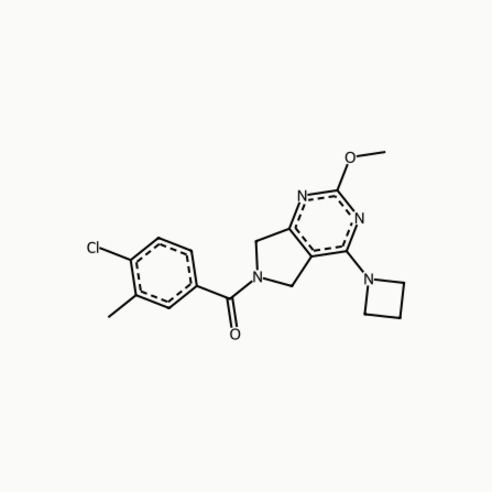 COc1nc2c(c(N3CCC3)n1)CN(C(=O)c1ccc(Cl)c(C)c1)C2